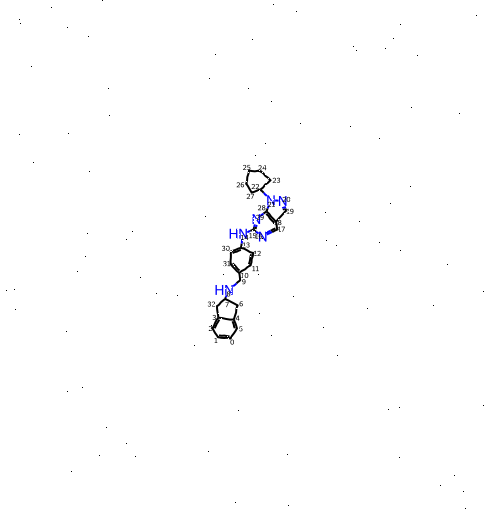 c1ccc2c(c1)CC(NCc1ccc(Nc3ncc4cnn(C5CCCCC5)c4n3)cc1)C2